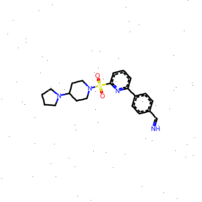 N=Cc1ccc(-c2cccc(S(=O)(=O)N3CCC(N4CCCC4)CC3)n2)cc1